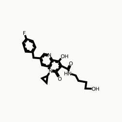 O=C(NCCCCO)c1c(O)c2ncc(Cc3ccc(F)cc3)cc2n(C2CC2)c1=O